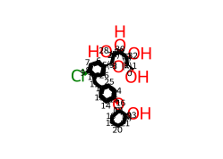 OC[C@H]1O[C@@H](c2ccc(Cl)c(Cc3ccc(O[C@@H]4CCCC[C@H]4O)cc3)c2)[C@H](O)[C@@H](O)[C@@H]1O